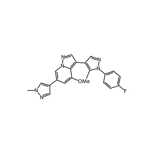 COc1cc(-c2cnn(C)c2)cn2ncc(-c3cnn(-c4ccc(F)cc4)c3C)c12